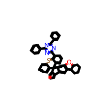 c1ccc(-c2nc(-c3ccccc3)nc(-c3cccc4c3Sc3ccccc3C43c4ccccc4-c4cc5c(cc43)OC3CCCCC53)n2)cc1